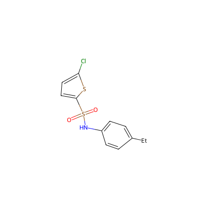 CCc1ccc(NS(=O)(=O)c2ccc(Cl)s2)cc1